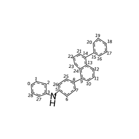 c1ccc(Nc2ccc(-c3cccc4c(-c5ccccc5)cccc34)cc2)cc1